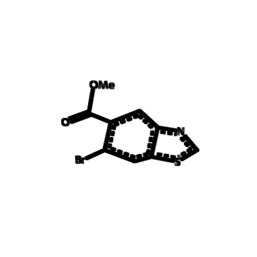 COC(=O)c1cc2ncsc2cc1Br